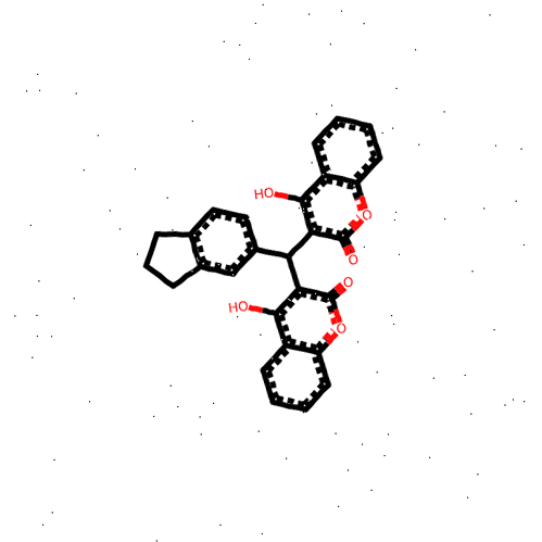 O=c1oc2ccccc2c(O)c1C(c1ccc2c(c1)CCC2)c1c(O)c2ccccc2oc1=O